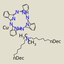 CCCCCCCCCCCCCCCCC[N+](C)(C)CCCCCCCCCCCCCCCCC.[Cu].c1ccc2c(c1)-c1nc-2nc2[nH]c(nc3nc(nc4[nH]c(n1)c1ccccc41)-c1ccccc1-3)c1ccccc21